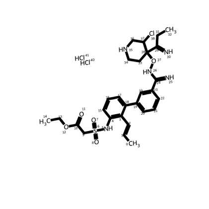 C/C=C/c1c(NS(=O)(=O)CC(=O)OCC)cccc1-c1cccc(C(=N)NOC2(C(=N)CC)CCNCC2Cl)c1.Cl.Cl